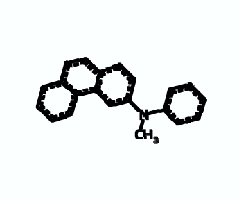 CN(c1ccccc1)c1ccc2ccc3ccccc3c2c1